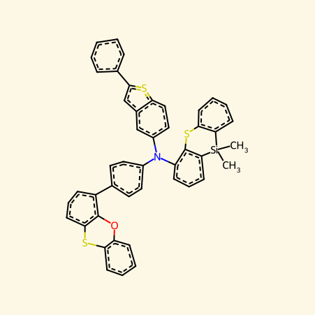 C[Si]1(C)c2ccccc2Sc2c(N(c3ccc(-c4cccc5c4Oc4ccccc4S5)cc3)c3ccc4sc(-c5ccccc5)cc4c3)cccc21